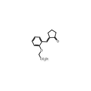 CCOC(=O)COc1ccccc1C=C1CCCC1=O